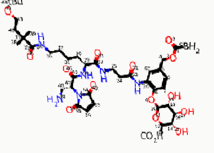 BC(=O)OCc1ccc(OC2O[C@H](C(=O)O)[C@@H](O)[C@H](O)[C@H]2O)c(NC(=O)CCNC(=O)[C@H](CCCCNC(=O)C(C)(C)CCOC(C)(C)C)NC(=O)[C@@H](CN)N2C(=O)C=CC2=O)c1